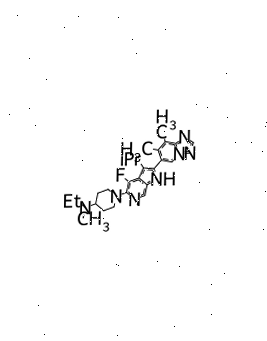 CCN(C)C1CCN(c2ncc3[nH]c(-c4cn5ncnc5c(C)c4C)c(C(C)C)c3c2F)CC1